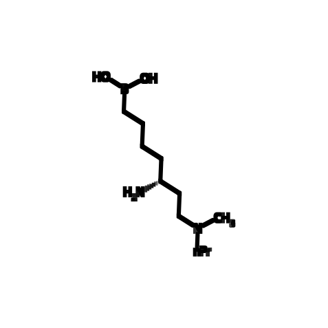 CCCN(C)CC[C@H](N)CCCCB(O)O